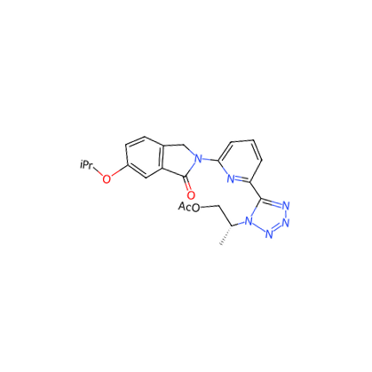 CC(=O)OC[C@@H](C)n1nnnc1-c1cccc(N2Cc3ccc(OC(C)C)cc3C2=O)n1